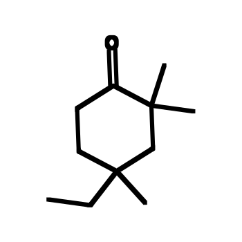 CCC1(C)CCC(=O)C(C)(C)C1